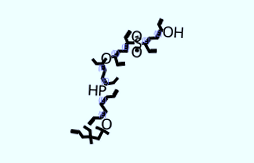 C=CCC(C)(CC)CC(C)(C)O/C(C=C)=C/C=C(\C=C)P/C(=C/C=C(\CC)O/C(C=C)=C/C=C(\C=C)S(=O)(=O)/C(C=C)=C/C=C(/O)C=C)CC